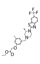 CCOC(=O)COc1cc(C)cc(CN2CCN(c3nc4ccc(C(F)(F)F)cc4s3)[C@H](C)C2)c1